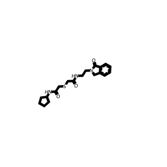 O=C(CSCC(=O)NC1CCCC1)NCCN1Cc2ccccc2C1=O